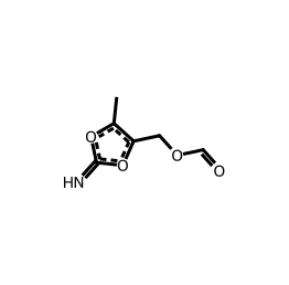 Cc1oc(=N)oc1COC=O